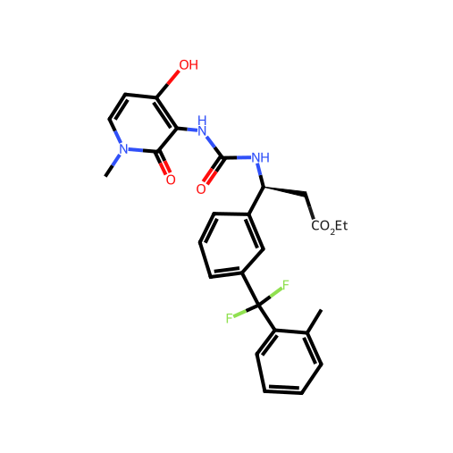 CCOC(=O)C[C@H](NC(=O)Nc1c(O)ccn(C)c1=O)c1cccc(C(F)(F)c2ccccc2C)c1